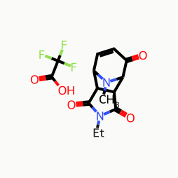 CCN1C(=O)C2C(C1=O)C1C(=O)C=CC2N1C.O=C(O)C(F)(F)F